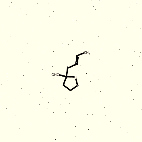 CC=CCC1(C=O)CCCO1